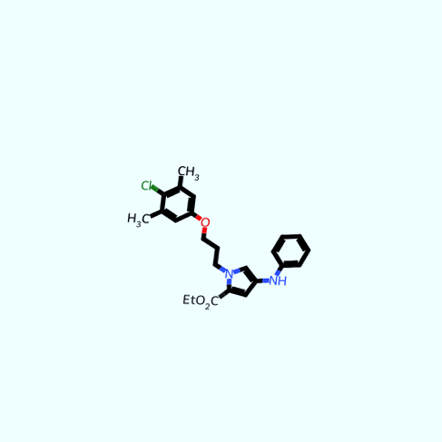 CCOC(=O)c1cc(Nc2ccccc2)cn1CCCOc1cc(C)c(Cl)c(C)c1